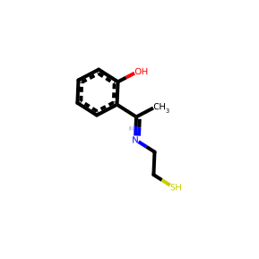 C/C(=N\CCS)c1ccccc1O